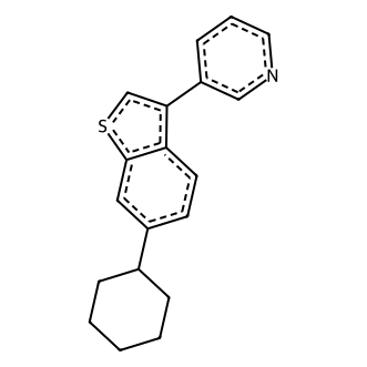 c1cncc(-c2csc3cc(C4CCCCC4)ccc23)c1